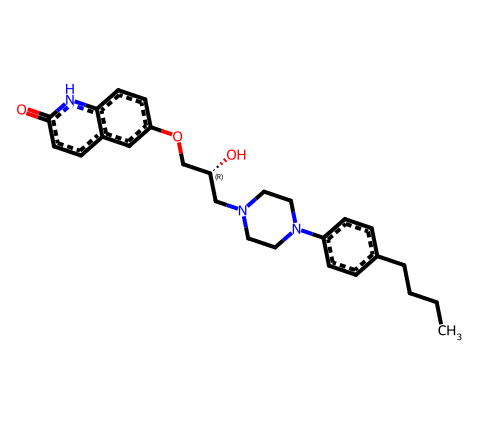 CCCCc1ccc(N2CCN(C[C@@H](O)COc3ccc4[nH]c(=O)ccc4c3)CC2)cc1